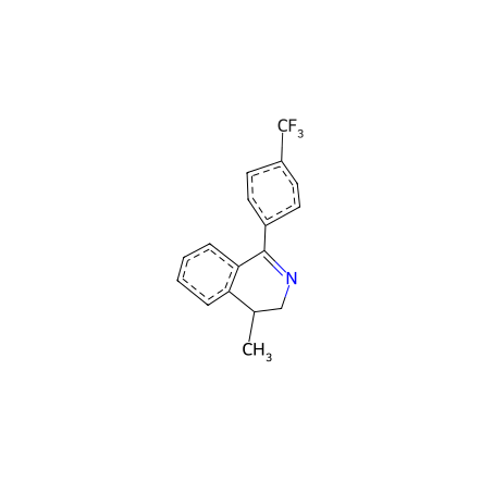 CC1CN=C(c2ccc(C(F)(F)F)cc2)c2ccccc21